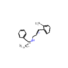 C[C@@H](NC/C=C/c1ccccc1[N+](=O)[O-])c1ccccc1